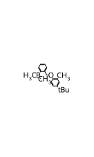 CB(C)c1ccccc1COc1ccc(C(C)(C)C)cc1C